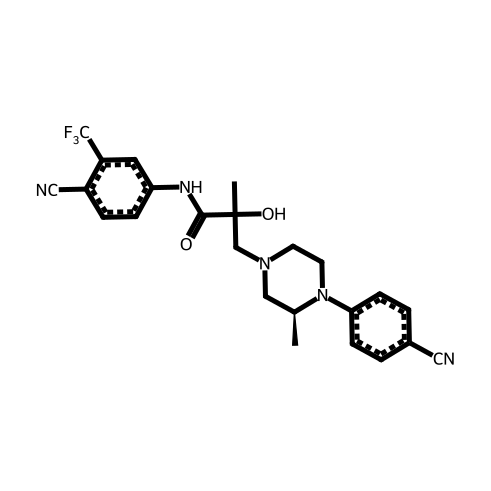 C[C@H]1CN(CC(C)(O)C(=O)Nc2ccc(C#N)c(C(F)(F)F)c2)CCN1c1ccc(C#N)cc1